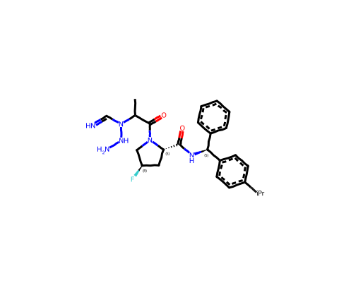 CC(C)c1ccc([C@@H](NC(=O)[C@@H]2C[C@@H](F)CN2C(=O)C(C)N(C=N)NN)c2ccccc2)cc1